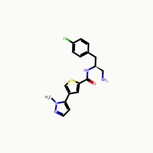 Cn1nccc1-c1csc(C(=O)N[C@H](CN)Cc2ccc(Cl)cc2)c1